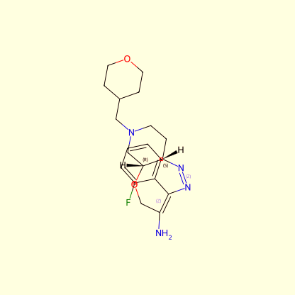 N/C1=C(c2ccccc2F)\N=N/[C@H]2CCN(CC3CCOCC3)C[C@H]2OC1